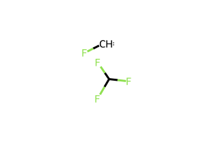 FC(F)F.[CH]F